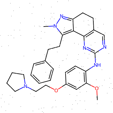 COc1cc(OCCN2CCCC2)ccc1Nc1ncc2c(n1)-c1c(nn(C)c1CCc1ccccc1)CC2